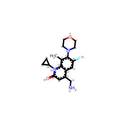 Cc1c(N2CCOCC2)c(F)cc2c(CN)cc(=O)n(C3CC3)c12